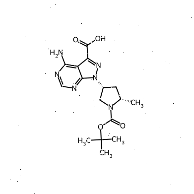 C[C@H]1C[C@@H](n2nc(C(=O)O)c3c(N)ncnc32)CN1C(=O)OC(C)(C)C